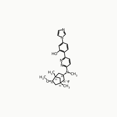 CO[C@@H]1C[C@]2(C)C[C@@]1(C)C[C@@H](N(C)c1ccc(-c3ccc(-n4ccnc4)cc3O)nn1)[C@@H]2F